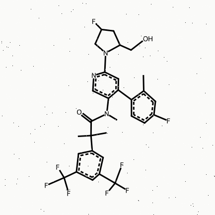 Cc1cc(F)ccc1-c1cc(N2CC(F)CC2CO)ncc1N(C)C(=O)C(C)(C)c1cc(C(F)(F)F)cc(C(F)(F)F)c1